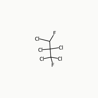 FC(Cl)C(Cl)(Cl)C(F)(Cl)Cl